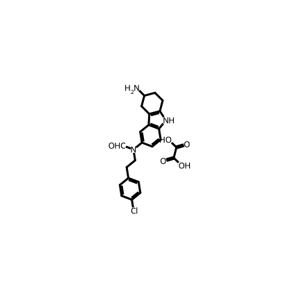 NC1CCc2[nH]c3ccc(N(C=O)CCc4ccc(Cl)cc4)cc3c2C1.O=C(O)C(=O)O